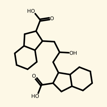 O=C(O)C1CC2CCCCC2C1CC(O)CC1C(C(=O)O)CC2CCCCC21